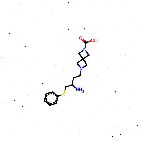 NC(CCN1CC2(C1)CN(C(=O)O)C2)CSc1ccccc1